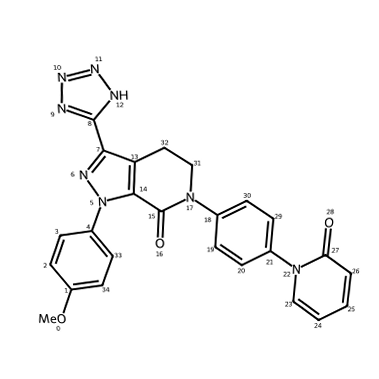 COc1ccc(-n2nc(-c3nnn[nH]3)c3c2C(=O)N(c2ccc(-n4ccccc4=O)cc2)CC3)cc1